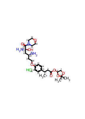 C[C@@H](CC(=O)O[C@H]1COC(C)(C)O1)c1ccc(OCC[C@H](N)C[C@](N)(O)C(=O)N2CCOCC2)cc1.Cl